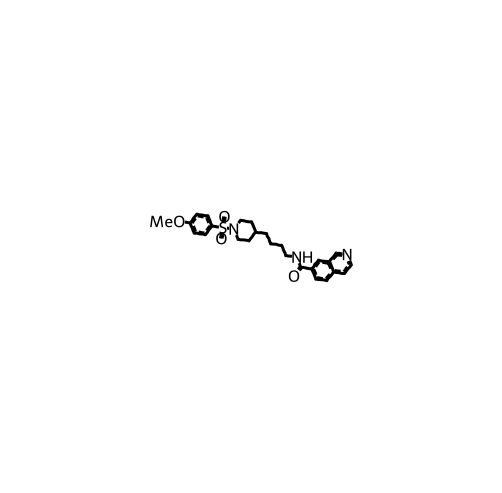 COc1ccc(S(=O)(=O)N2CCC(CCCCNC(=O)c3ccc4ccncc4c3)CC2)cc1